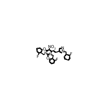 O=c1c([N+](=O)[O-])c(/C=C/c2cnn(Cc3ccccc3F)c2)n(Cc2ccccc2F)c(=O)n1Cc1ccccc1F